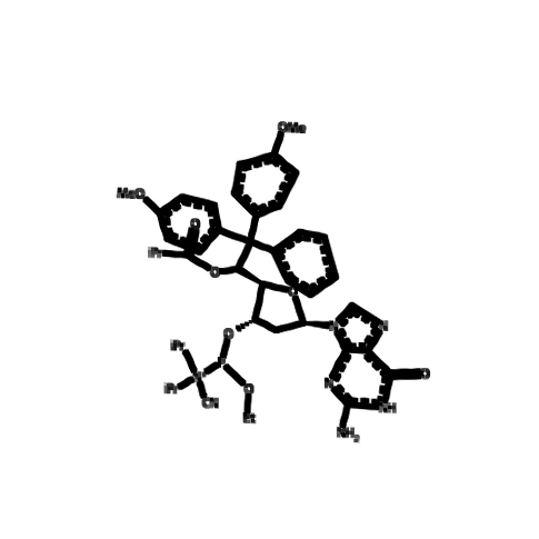 CCOP(O[C@H]1C[C@H](n2cnc3c(=O)[nH]c(N)nc32)O[C@@H]1C(OC(=O)C(C)C)C(c1ccccc1)(c1ccc(OC)cc1)c1ccc(OC)cc1)[N+](C#N)(C(C)C)C(C)C